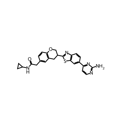 Nc1nccc(-c2ccc3nc(C4COc5ccc(CC(=O)NC6CC6)cc5C4)sc3c2)n1